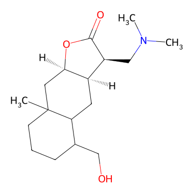 CN(C)C[C@@H]1C(=O)O[C@@H]2CC3(C)CCCC(CO)C3C[C@H]12